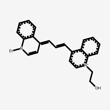 CCN1C=C/C(=C\C=C\c2cc[n+](CCO)c3ccccc23)c2ccccc21